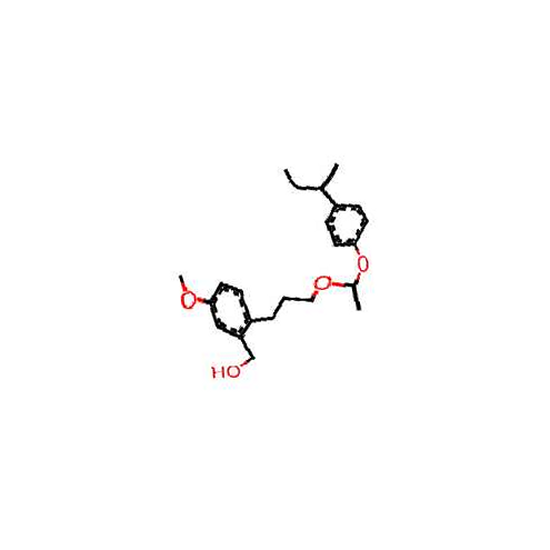 CCC(C)c1ccc(OC(C)OCCCc2ccc(OC)cc2CO)cc1